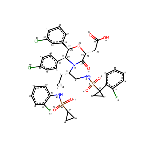 CC[C@@H](CNS(=O)(=O)C1(c2ccccc2F)CC1)N1C(=O)[C@@H](CC(=O)O)O[C@H](c2cccc(Cl)c2)[C@H]1c1ccc(Cl)cc1.O=S(=O)(Nc1ccccc1F)C1CC1